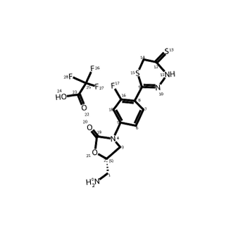 NC[C@H]1CN(c2ccc(C3=NNC(=S)CS3)c(F)c2)C(=O)O1.O=C(O)C(F)(F)F